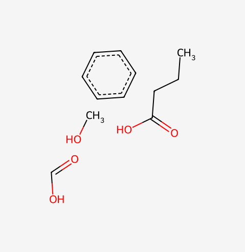 CCCC(=O)O.CO.O=CO.c1ccccc1